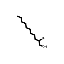 CCCCCCCCCC(S)CO